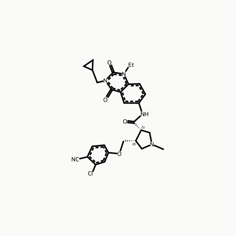 CCn1c(=O)n(CC2CC2)c(=O)c2cc(NC(=O)[C@@H]3CN(C)C[C@@H]3COc3ccc(C#N)c(Cl)c3)ccc21